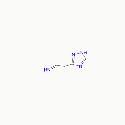 N=CCc1nc[nH]n1